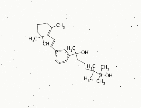 CC1=C(C=Cc2cccc(C(C)(O)CCCC(C)(C)[Si](C)(C)O)c2)C(C)(C)CCC1